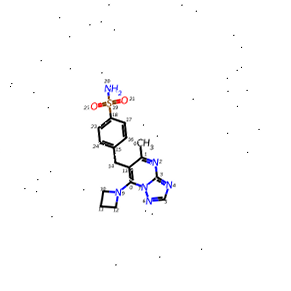 Cc1nc2ncnn2c(N2CCC2)c1Cc1ccc(S(N)(=O)=O)cc1